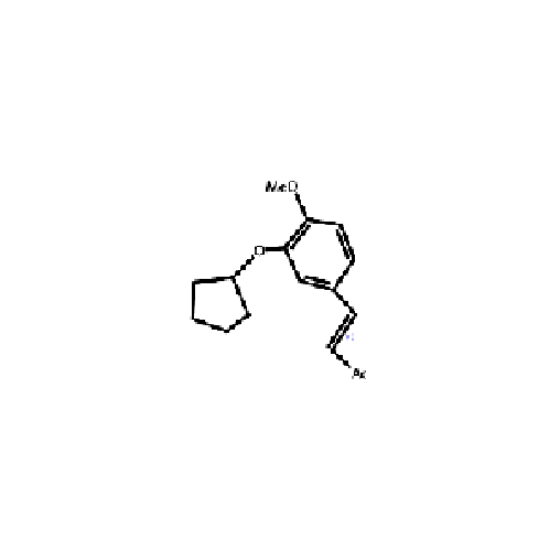 COc1ccc(/C=C/C(C)=O)cc1OC1CCCC1